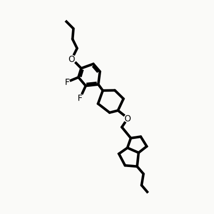 CCCCOc1ccc(C2CCC(OCC3CCC4C(CCC)CCC34)CC2)c(F)c1F